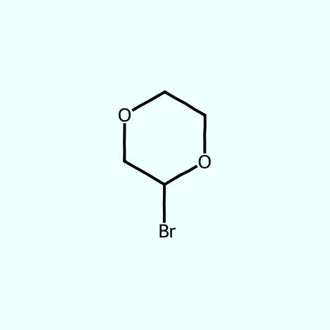 BrC1COCCO1